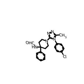 Cc1nnc(N2CCC(NC=O)(c3ccccc3)CC2)n1-c1ccc(Cl)cc1